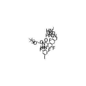 CCNS(=O)(=O)Nc1nccc(Cc2cc(C(=O)NOCCO[Si](C)(C)C(C)(C)C)c(Nc3ccc(I)cc3F)c(F)c2F)c1F